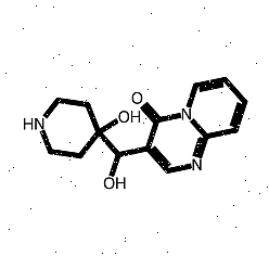 O=c1c(C(O)C2(O)CCNCC2)cnc2ccccn12